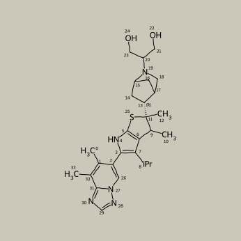 Cc1c(-c2[nH]c3c(c2C(C)C)C(C)C(C)([C@@H]2CC4CC2CN4C(CO)CO)S3)cn2ncnc2c1C